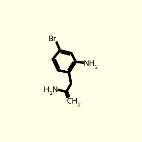 C=C(N)Cc1ccc(Br)cc1N